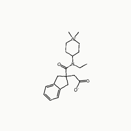 CCN(C(=O)C1(CC(=O)[O-])Cc2ccccc2C1)C1CC[N+](C)(C)CC1